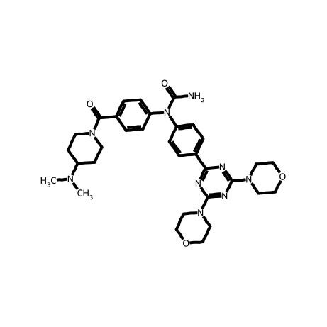 CN(C)C1CCN(C(=O)c2ccc(N(C(N)=O)c3ccc(-c4nc(N5CCOCC5)nc(N5CCOCC5)n4)cc3)cc2)CC1